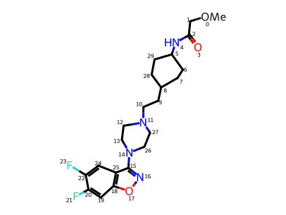 COCC(=O)NC1CCC(CCN2CCN(c3noc4cc(F)c(F)cc34)CC2)CC1